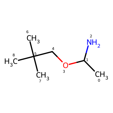 CC(N)OCC(C)(C)C